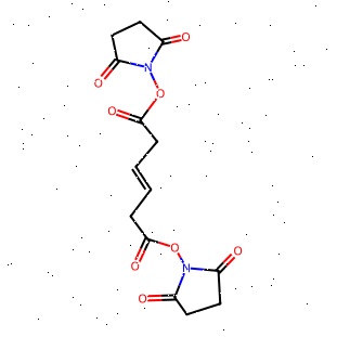 O=C(C/C=C/CC(=O)ON1C(=O)CCC1=O)ON1C(=O)CCC1=O